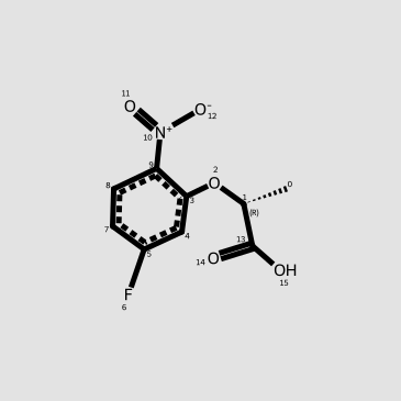 C[C@@H](Oc1cc(F)ccc1[N+](=O)[O-])C(=O)O